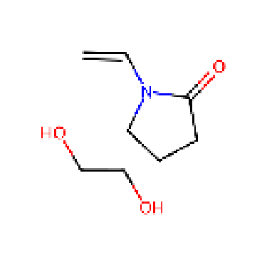 C=CN1CCCC1=O.OCCO